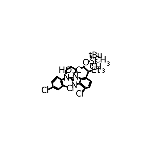 CCC(c1ccc(Cl)c2nc3n(c12)CCCN3c1ccc(Cl)cc1Cl)C(O[Si](C)(C)C(C)(C)C)C(=O)O